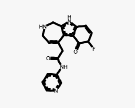 O=C(CC1=CCNCc2[nH]c3c(c21)C(=O)C(F)C=C3)Nc1cccnc1